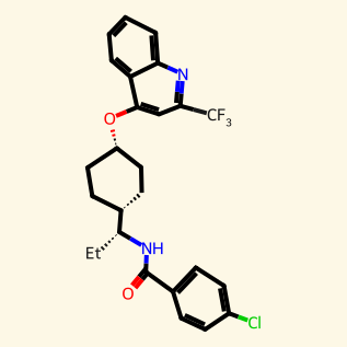 CC[C@@H](NC(=O)c1ccc(Cl)cc1)[C@H]1CC[C@@H](Oc2cc(C(F)(F)F)nc3ccccc23)CC1